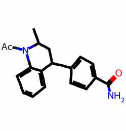 CC(=O)N1c2ccccc2C(c2ccc(C(N)=O)cc2)CC1C